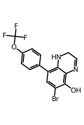 Oc1c(Br)cc(-c2ccc(OC(F)(F)F)cc2)c2c1N=CCN2